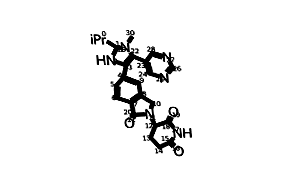 CC(C)C1NC(c2ccc3c(c2)CN(C2CCC(=O)NC2=O)C3=O)=C(c2cncnc2)N1C